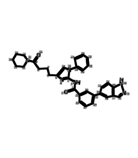 O=C(Nc1nc(CCCC(=O)N2CCCCC2)cn1-c1ccccc1)c1cccc(-c2ccc3[nH]ncc3c2)c1